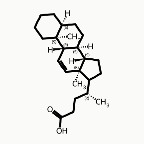 C[C@H](CCC(=O)O)C1CC[C@H]2[C@@H]3CC[C@@H]4CCCC[C@]4(C)[C@H]3C=C[C@]12C